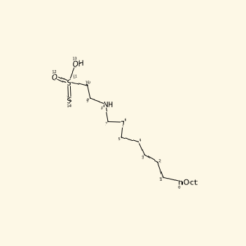 CCCCCCCCCCCCCCCNCCS(=O)(O)=S